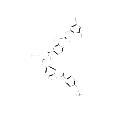 CCCCCCCOc1ccc(C(=O)Oc2ccc(CC(NC(=O)c3cccc(NC(=O)Cc4cc(F)cc(F)c4)c3)C(=O)O)cc2OC)cc1